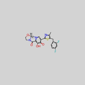 Cc1nc(-c2cn3c(c(O)c2=O)C(=O)N2CCO[C@@H]2C3)sc1Cc1ccc(F)cc1F